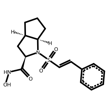 O=C(NO)[C@H]1C[C@H]2CCC[C@H]2N1S(=O)(=O)/C=C/c1ccccc1